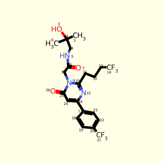 CC(C)(O)CNC(=O)Cn1c(CCCC(F)(F)F)nc(-c2ccc(C(F)(F)F)cc2)cc1=O